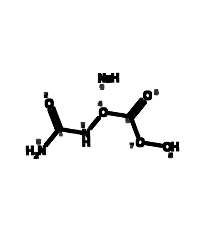 NC(=O)NOC(=O)OO.[NaH]